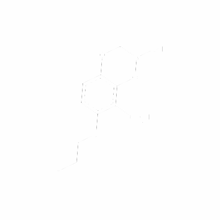 O=C(O)c1c(OCCF)ccc2c1OB(O)CO2